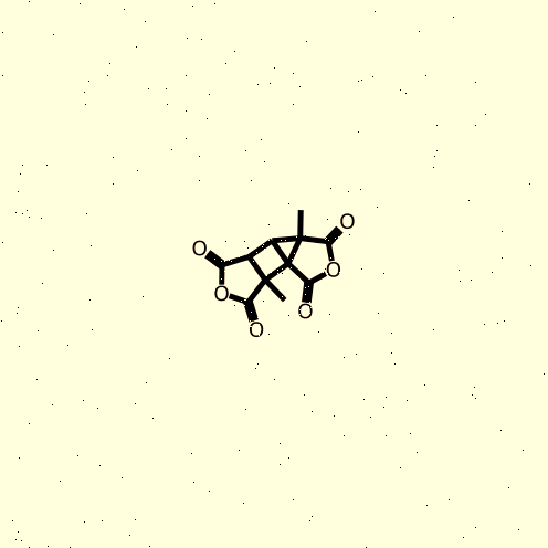 CC12C(=O)OC(=O)C1C1C3(C)C(=O)OC(=O)C123